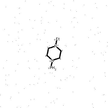 CCN1CCN(P)CC1